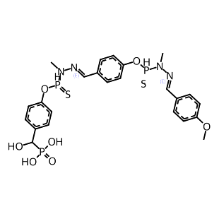 COc1ccc(/C=N/N(C)[PH](=S)Oc2ccc(/C=N/N(C)[PH](=S)Oc3ccc(C(O)P(=O)(O)O)cc3)cc2)cc1